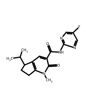 CC(C)C1CCc2c1cc(C(=O)Nc1ncc(F)cn1)c(=O)n2C